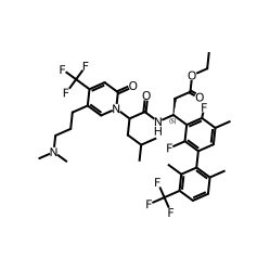 CCOC(=O)C[C@H](NC(=O)C(CC(C)C)n1cc(CCCN(C)C)c(C(F)(F)F)cc1=O)c1c(F)c(C)cc(-c2c(C)ccc(C(F)(F)F)c2C)c1F